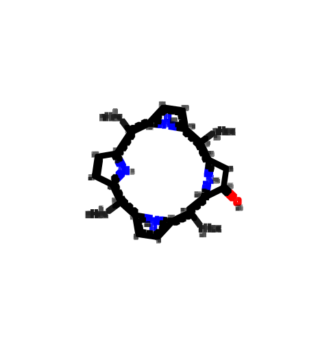 CCCCCCc1c2nc(c(CCCCCC)c3ccc([nH]3)c(CCCCCC)c3nc(c(CCCCCC)c4ccc1[nH]4)CC3=O)C=C2